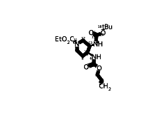 C=CCOC(=O)N[C@H]1CCN(C(=O)OCC)C[C@H]1NC(=O)OC(C)(C)C